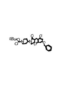 CC(C)(C)OC(=O)N1CCC(N2CCC(Cc3c(Cl)cc(OCc4ccccc4)cc3Cl)C2=O)CC1